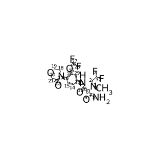 CN(CC(F)F)[C@H](C(N)=O)C(=O)Nc1ccc(N2CCOCC2=O)c(OC(F)F)c1